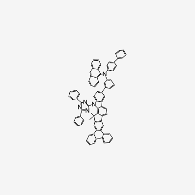 CC1(C)c2cc3c4ccccc4c4ccccc4c3cc2-c2ccc3c4cc(-c5cccc(N(c6ccc(-c7ccccc7)cc6)c6c7ccccc7cc7ccccc67)c5)ccc4n(-c4nc(-c5ccccc5)nc(-c5ccccc5)n4)c3c21